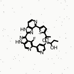 CCC(O)Nc1cncc(-c2ncc3[nH]nc(-c4nc5c(-c6ccc(C(C)=O)s6)nccc5[nH]4)c3c2F)c1